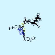 CCOC(=O)CCNC(=S)NC(CSCC=C(C)CCC=C(C)CCC=C(C)C)C(=O)O